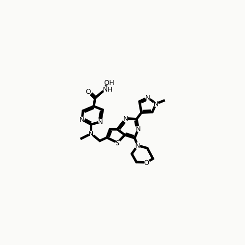 CN(Cc1cc2nc(-c3cnn(C)c3)nc(N3CCOCC3)c2s1)c1ncc(C(=O)NO)cn1